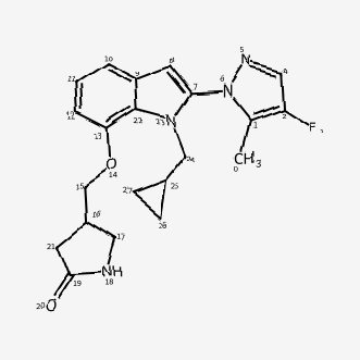 Cc1c(F)cnn1-c1cc2cccc(OCC3CNC(=O)C3)c2n1CC1CC1